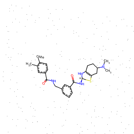 COc1ccc(C(=O)NCc2cccc(C(=O)N[C@H]3NC4=C(CC(N(C)C)CC4)S3)c2)cc1C